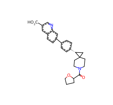 O=C(O)c1cnc2cc(-c3ccc([C@@H]4CC45CCN(C(=O)C4CCCO4)CC5)cc3)ccc2c1